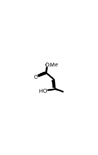 COC(=O)/C=C(/C)O